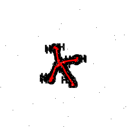 CC(=O)N[C@H]1[C@@H]2OC[C@](COCCOCCOCCCOCCCn3cc(COCC(COCc4cn(CCOCCOCCOCCOC[C@@]56CO[C@H](O5)[C@H](NC(C)=O)[C@@H](O)[C@H]6O)nn4)(COCc4cn(CCOCCOCCOCCOC[C@@]56CO[C@@H](O5)[C@H](NC(C)=O)[C@@H](O)[C@H]6O)nn4)NC(=O)CCCCCNC(=O)CCOCCOCCOCCOCCNC(=O)CCSSc4ccccn4)nn3)(O2)[C@H](O)[C@@H]1O